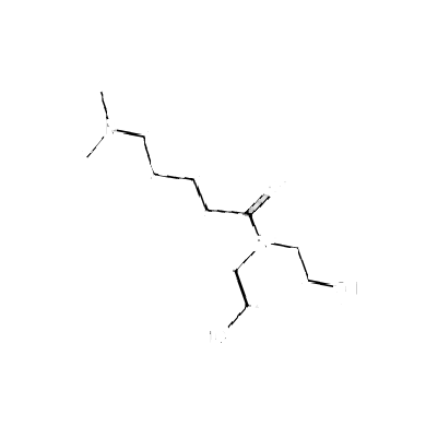 CN(C)CCCCC(=O)N(CCO)CCO